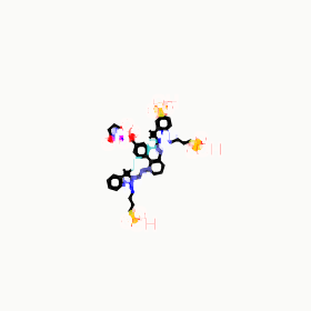 CC1(C)C(/C=C/C2=C(c3c(F)cc(C(=O)ON4C(=O)CCC4=O)cc3F)C(=C/C=C3/N(CCCCS(=O)(=O)O)c4ccccc4C3(C)C)/CCC2)=[N+](CCCCS(=O)(=O)O)c2ccc(S(=O)(=O)O)cc21